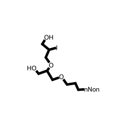 CCCCCCCCCCCCOCC(CO)OCC(I)CO